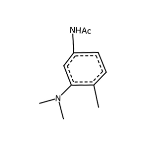 CC(=O)Nc1ccc(C)c(N(C)C)c1